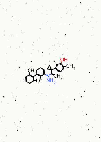 C=C(N(N)C1=CCCC(C2=C(C)C=CCC2)=C1C)C1(c2ccc(C)c(O)c2)CC1